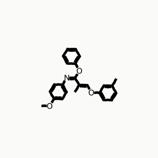 COc1ccc(/N=C(Oc2ccccc2)\C(C)=C\Oc2cccc(C)c2)cc1